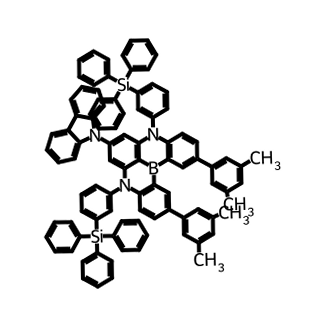 Cc1cc(C)cc(-c2ccc3c(c2)B2c4cc(-c5cc(C)cc(C)c5)ccc4N(c4cccc([Si](c5ccccc5)(c5ccccc5)c5ccccc5)c4)c4cc(-n5c6ccccc6c6ccccc65)cc(c42)N3c2cccc([Si](c3ccccc3)(c3ccccc3)c3ccccc3)c2)c1